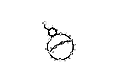 OCc1ccc2c(c1)OCCN1CCOCCOCCN(CCOCCOCC1)CCO2